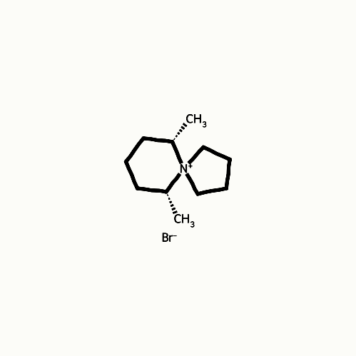 C[C@@H]1CCC[C@H](C)[N+]12CCCC2.[Br-]